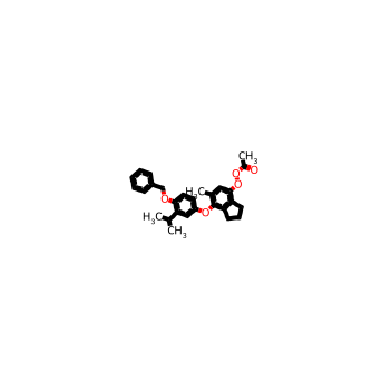 CC(=O)OOc1cc(C)c(Oc2ccc(OCc3ccccc3)c(C(C)C)c2)c2c1CCC2